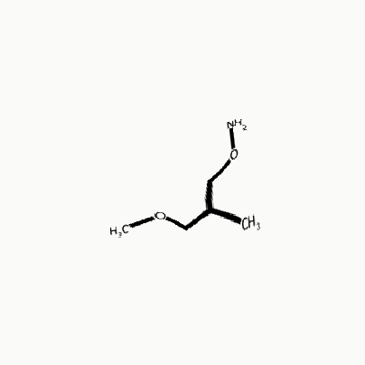 COCC(C)CON